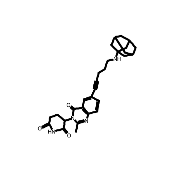 Cc1nc2ccc(C#CCCCNC34CC5CC(CC(C5)C3)C4)cc2c(=O)n1C1CCC(=O)NC1=O